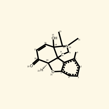 Cc1cccc2c1C13CCN(C)C(C)C1(O)C=CC(=O)[C@@H]3O2